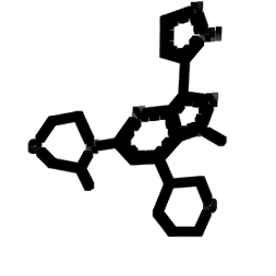 CC1COCCN1c1cc(C2CCCOC2)c2c(n1)c(-c1ccn[nH]1)nn2C